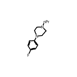 CCCN1CCN(c2ccc(F)cc2)CC1